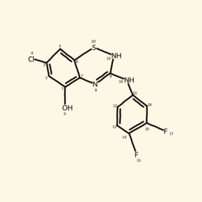 Oc1cc(Cl)cc2c1N=C(Nc1ccc(F)c(F)c1)NS2